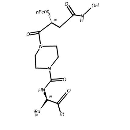 CCCCC[C@H](CC(=O)NO)C(=O)N1CCN(C(=O)N[C@@H](C(=O)CC)[C@H](C)CC)CC1